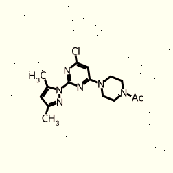 CC(=O)N1CCN(c2cc(Cl)nc(-n3nc(C)cc3C)n2)CC1